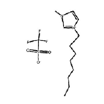 CCCCCCCC[n+]1ccn(C)c1.O=S(=O)([O-])C(F)(F)F